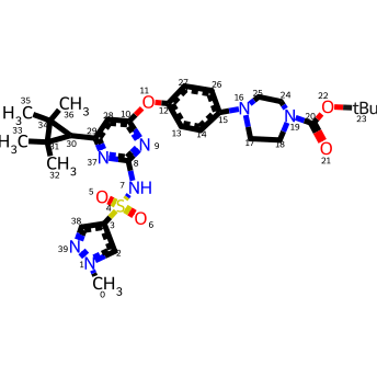 Cn1cc(S(=O)(=O)Nc2nc(Oc3ccc(N4CCN(C(=O)OC(C)(C)C)CC4)cc3)cc(C3C(C)(C)C3(C)C)n2)cn1